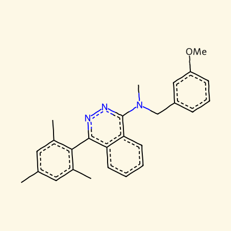 COc1cccc(CN(C)c2nnc(-c3c(C)cc(C)cc3C)c3ccccc23)c1